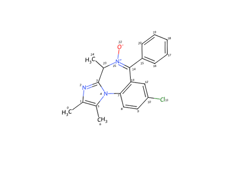 Cc1nc2n(c1C)-c1ccc(Cl)cc1C(c1ccccc1)=[N+]([O-])C2C